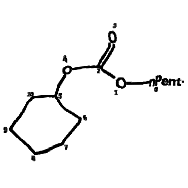 CCCC[CH]OC(=O)OC1CCCCC1